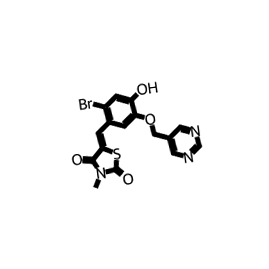 CN1C(=O)S/C(=C\c2cc(OCc3cncnc3)c(O)cc2Br)C1=O